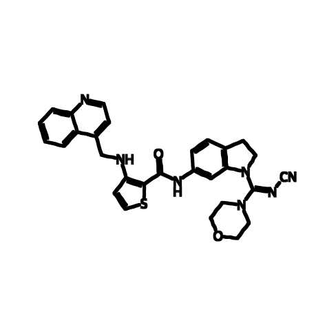 N#C/N=C(/N1CCOCC1)N1CCc2ccc(NC(=O)c3sccc3NCc3ccnc4ccccc34)cc21